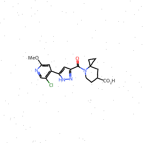 COc1cc(-c2cc(C(=O)N3CCC(C(=O)O)CC34CC4)n[nH]2)c(Cl)cn1